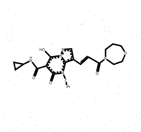 CC(C)Cn1c(=O)c(C(=O)NC2CC2)c(O)n2ncc(C=CC(=O)N3CCCOCC3)c12